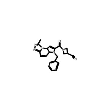 Cc1nnc2n1C1C=C(C(=O)N3CC(C#N)C3)N(Cc3ccccc3)C1C=C2